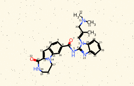 C/C(=C\n1c(NC(=O)c2ccc3cc4n(c3c2)CCCNC4=O)nc2ccccc21)CN(C)C